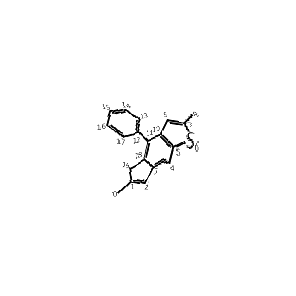 CC1=[C]c2cc3sc(C)cc3c(-c3ccccc3)c2C1